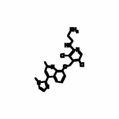 Cc1cc(-c2nccn2C)c2cccc(OCc3c(Cl)cnc(NCCN)c3Cl)c2n1